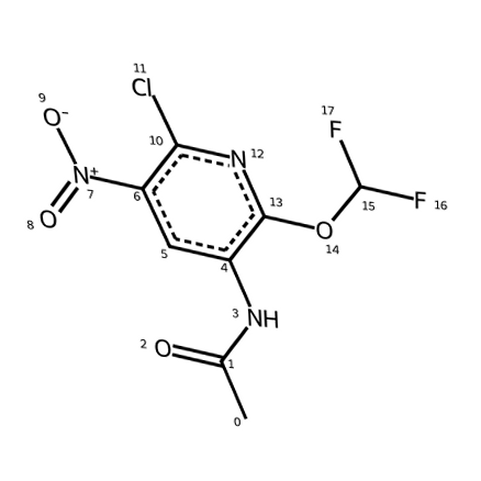 CC(=O)Nc1cc([N+](=O)[O-])c(Cl)nc1OC(F)F